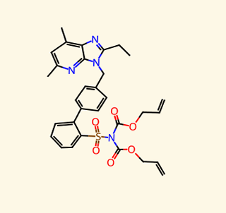 C=CCOC(=O)N(C(=O)OCC=C)S(=O)(=O)c1ccccc1-c1ccc(Cn2c(CC)nc3c(C)cc(C)nc32)cc1